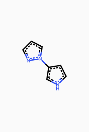 c1cnn(-c2cc[nH]c2)c1